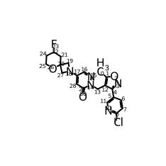 Cc1onc(-c2ccc(Cl)nc2)c1Cn1ncc(N2CC3(C[C@H](F)CCO3)C2)cc1=O